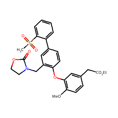 CCOC(=O)Cc1ccc(OC)c(Oc2ccc(-c3ccccc3S(C)(=O)=O)cc2CN2CCOC2=O)c1